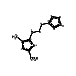 Cc1cc(C(=O)O)sc1OCCn1ccnc1